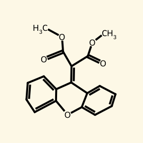 COC(=O)C(C(=O)OC)=C1c2ccccc2Oc2ccccc21